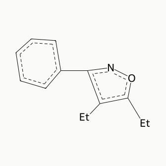 CCc1onc(-c2ccccc2)c1CC